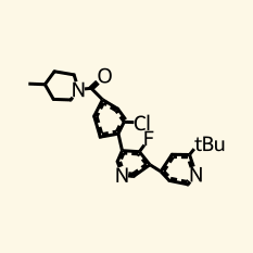 CC1CCN(C(=O)c2ccc(-c3cncc(-c4ccnc(C(C)(C)C)c4)c3F)c(Cl)c2)CC1